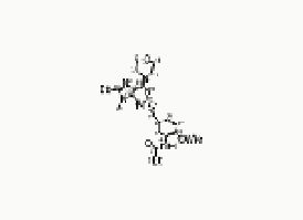 CCC(=O)Nc1cc(CSc2nc(N3CCOCC3)c3nc(CC)n(C)c3n2)ccc1OC